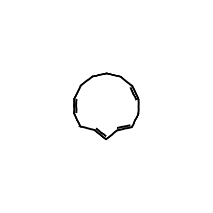 [CH]1/C=C\CCCC/C=C\C/C=C/C=C/1